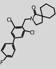 O=C1N(Cc2c(Cl)cc(-c3ccc(F)cc3)cc2Cl)CCC12CCCCC2